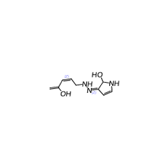 C=C(O)/C=C\CN/N=C1/C=CNC1O